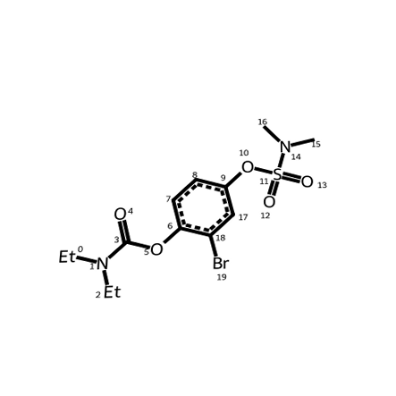 CCN(CC)C(=O)Oc1ccc(OS(=O)(=O)N(C)C)cc1Br